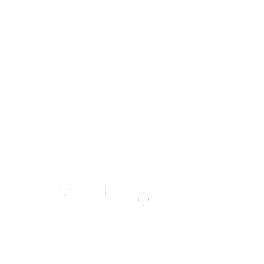 C#CC1([SH](=O)=O)CCCC1